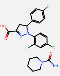 NC(=O)N1CCCCC1.O=C(O)C1=NN(c2ccc(Cl)cc2Cl)C(c2ccc(Cl)cc2)C1